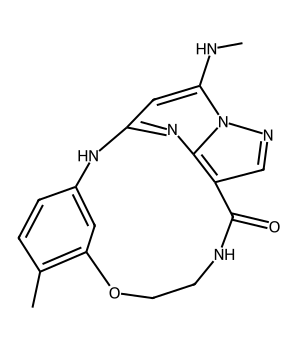 CNc1cc2nc3c(cnn13)C(=O)NCCOc1cc(ccc1C)N2